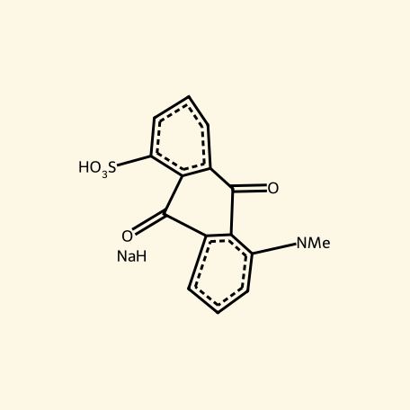 CNc1cccc2c1C(=O)c1cccc(S(=O)(=O)O)c1C2=O.[NaH]